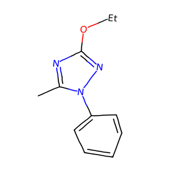 [CH2]COc1nc(C)n(-c2ccccc2)n1